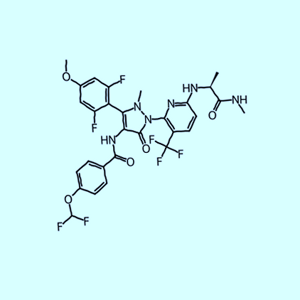 CNC(=O)[C@H](C)Nc1ccc(C(F)(F)F)c(-n2c(=O)c(NC(=O)c3ccc(OC(F)F)cc3)c(-c3c(F)cc(OC)cc3F)n2C)n1